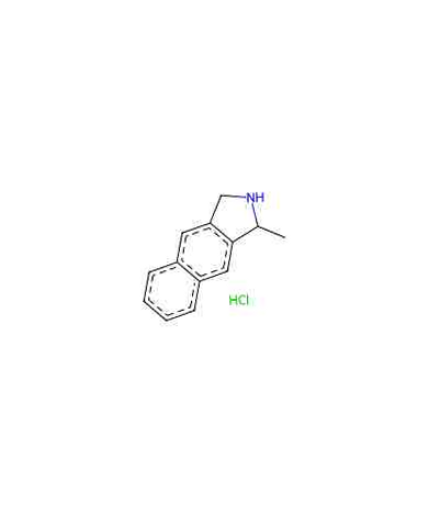 CC1NCc2cc3ccccc3cc21.Cl